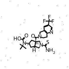 CC(C)(C)N(C(=O)O)[C@@H]1C[C@H]2CN(C(N)=S)C[C@@]2(C(=O)N2CCc3ncc(C(F)(F)F)cc3C2)C1